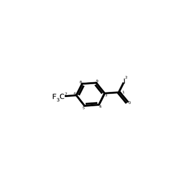 C=C(I)c1ccc(C(F)(F)F)cc1